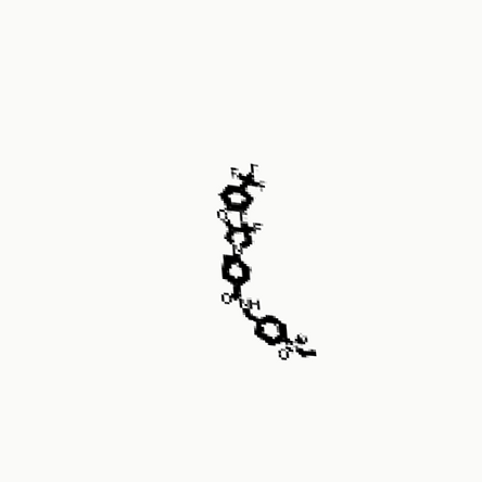 CCS(=O)(=O)c1ccc(CNC(=O)c2ccc(N3CC(Oc4ccc(C(F)(F)F)cc4)C(F)(F)C3)cc2)cc1